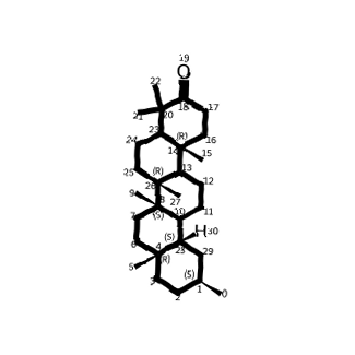 C[C@H]1CC[C@]2(C)CC[C@@]3(C)C(CCC4[C@@]5(C)CCC(=O)C(C)(C)C5CC[C@]43C)[C@@H]2C1